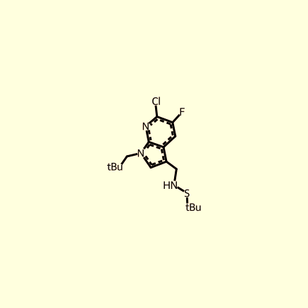 CC(C)(C)Cn1cc(CNSC(C)(C)C)c2cc(F)c(Cl)nc21